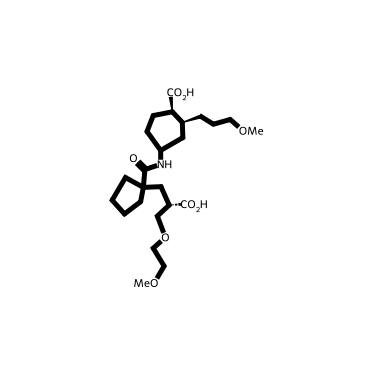 COCCC[C@H]1CC(NC(=O)C2(C[C@@H](COCCOC)C(=O)O)CCCC2)CC[C@H]1C(=O)O